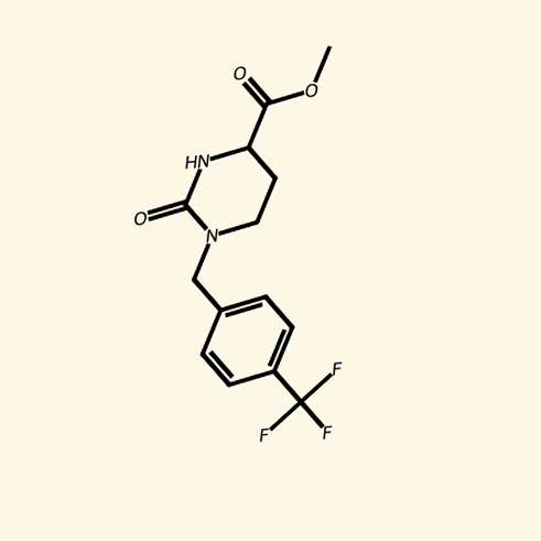 COC(=O)C1CCN(Cc2ccc(C(F)(F)F)cc2)C(=O)N1